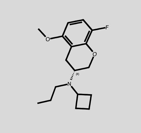 CCCN(C1CCC1)[C@H]1COc2c(F)ccc(OC)c2C1